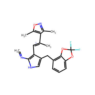 C=Nc1[nH]cc(Cc2cccc3c2OC(F)(F)O3)c1/C=C(\C)c1c(C)noc1C